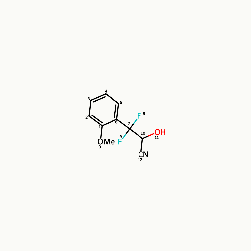 COc1ccccc1C(F)(F)C(O)C#N